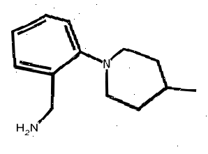 CC1CCN(c2ccccc2CN)CC1